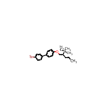 CCCC(COc1ccc(-c2ccc(Br)cc2)cc1)[Si](C)(C)C